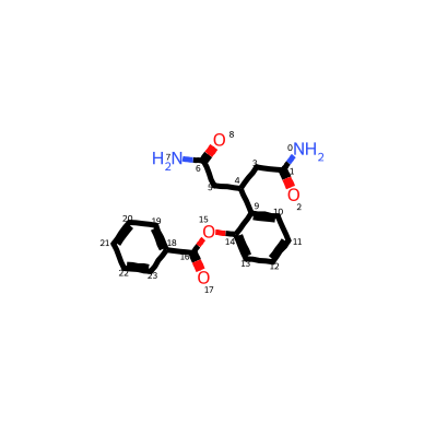 NC(=O)CC(CC(N)=O)c1ccccc1OC(=O)c1ccccc1